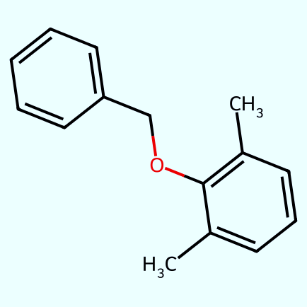 Cc1cccc(C)c1OCc1ccccc1